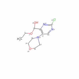 CCOC(O)c1nc(Cl)ncc1N1CCOCC1